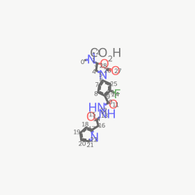 CN(C(=O)O)C1CN(c2ccc(C(=O)NNC(=O)Cc3ccccn3)c(F)c2)C(=O)O1